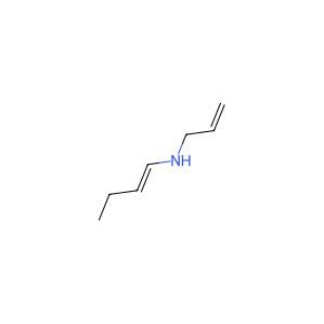 C=CCNC=CCC